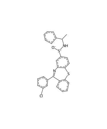 CC(N[S+]([O-])c1ccc2c(c1)N=C(c1cccc(Cl)c1)c1ccccc1S2)c1ccccc1